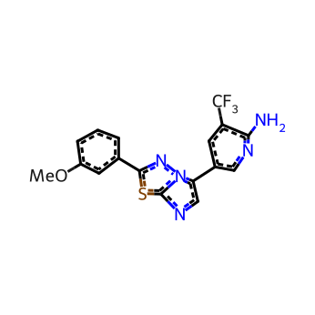 COc1cccc(-c2nn3c(-c4cnc(N)c(C(F)(F)F)c4)cnc3s2)c1